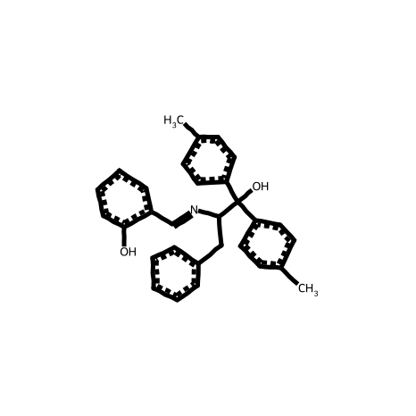 Cc1ccc(C(O)(c2ccc(C)cc2)C(Cc2ccccc2)N=Cc2ccccc2O)cc1